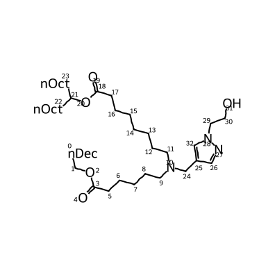 CCCCCCCCCCCOC(=O)CCCCCN(CCCCCCCC(=O)OC(CCCCCCCC)CCCCCCCC)Cc1cnn(CCO)c1